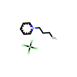 CCCC[n+]1ccccc1.[Cl][Al-]([Cl])([Cl])[Cl]